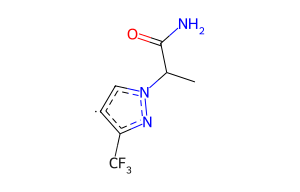 CC(C(N)=O)n1c[c]c(C(F)(F)F)n1